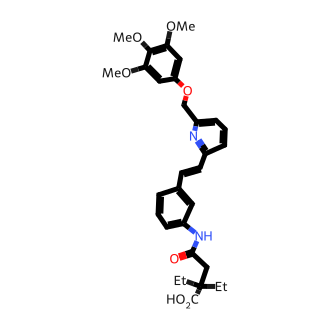 CCC(CC)(CC(=O)Nc1cccc(/C=C/c2cccc(COc3cc(OC)c(OC)c(OC)c3)n2)c1)C(=O)O